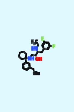 CC(C)(C)Cc1cccc(C2(NC[C@@H](O)[C@H](Cc3cc(F)cc(F)c3)NCC(F)(F)F)CCCCC2)c1